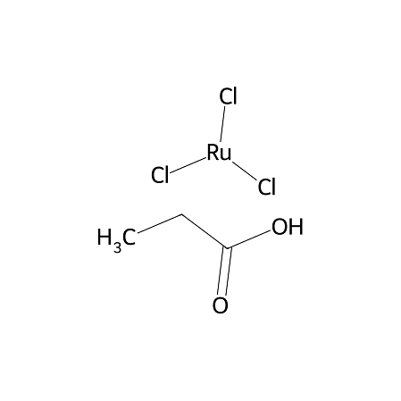 CCC(=O)O.[Cl][Ru]([Cl])[Cl]